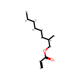 C=CC(=O)OCC(C)CCCCCC